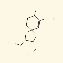 CCOC(=O)C1=CC2(CCC1C=O)O[C@H](COC)[C@@H](COC)O2